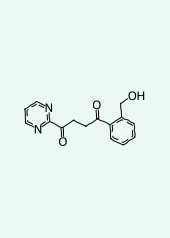 O=C(CCC(=O)c1ccccc1CO)c1ncccn1